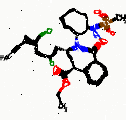 C#C/C=C(Cl)\C=C(\Cl)C[C@H]1[C@H](C(=O)OCC)c2ccccc2C(=O)N1[C@@H]1CCCC[C@H]1NS(C)(=O)=O